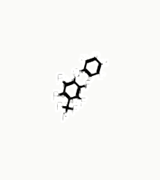 Fc1c(F)c(C(F)(F)F)c(F)c(F)c1Oc1ccccc1